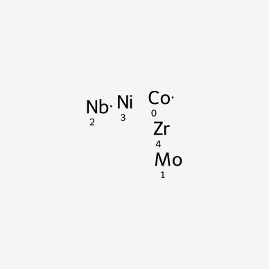 [Co].[Mo].[Nb].[Ni].[Zr]